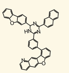 c1cc(C2=NC(c3ccc4ccccc4c3)=NC(c3ccc4c(c3)oc3ccccc34)N2)cc(-c2cccc3oc4cc5cccnc5cc4c23)c1